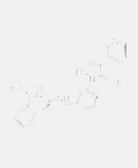 C=C1C(c2cccnc2)=CNN1c1cc(CNC(=O)N[C@H](C)c2ccccc2)ccn1